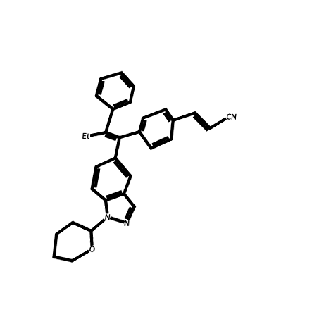 CC/C(=C(/c1ccc(/C=C/C#N)cc1)c1ccc2c(cnn2C2CCCCO2)c1)c1ccccc1